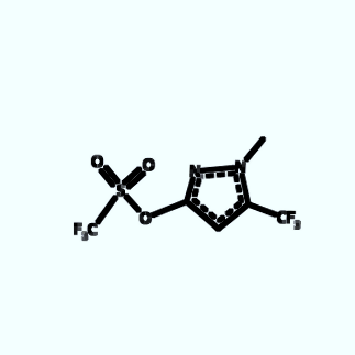 Cn1nc(OS(=O)(=O)C(F)(F)F)cc1C(F)(F)F